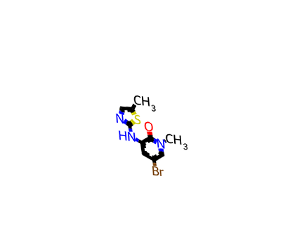 Cc1cnc(Nc2cc(Br)cn(C)c2=O)s1